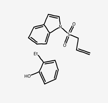 C=CCS(=O)(=O)n1ccc2ccccc21.CCc1ccccc1O